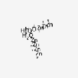 O.O.O.[Zn].[Zn].[Zn].[Zn].[Zn].[Zn].[Zn]